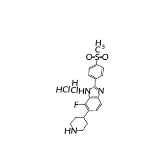 CS(=O)(=O)c1ccc(-c2nc3ccc(C4CCNCC4)c(F)c3[nH]2)cc1.Cl.Cl